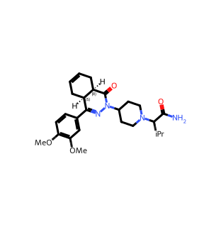 COc1ccc(C2=NN(C3CCN(C(C(N)=O)C(C)C)CC3)C(=O)[C@@H]3CC=CC[C@H]23)cc1OC